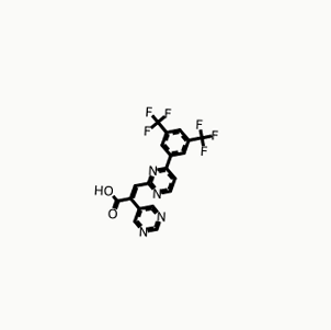 O=C(O)/C(=C/c1nccc(-c2cc(C(F)(F)F)cc(C(F)(F)F)c2)n1)c1cncnc1